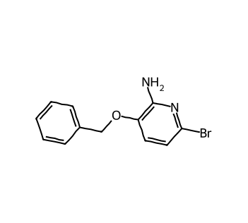 Nc1nc(Br)ccc1OCc1ccccc1